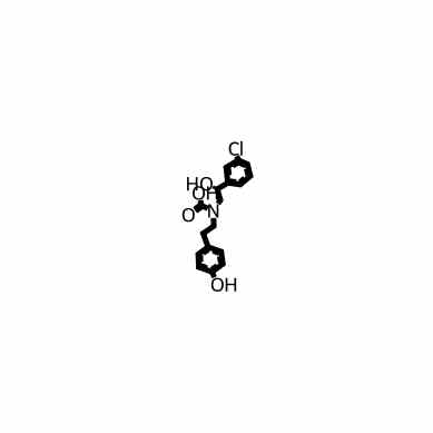 O=C(O)N(CCc1ccc(O)cc1)C[C@@H](O)c1cccc(Cl)c1